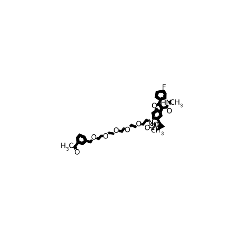 CNC(=O)c1c(-c2ccc(F)cc2)oc2cc(N(CCOCCOCCOCCOCCOCc3cccc(C(C)=O)c3)S(C)(=O)=O)c(C3CC3)cc12